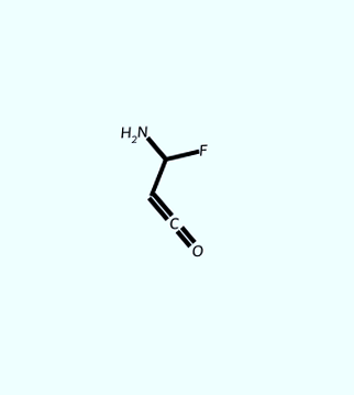 NC(F)C=C=O